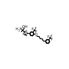 CC(N)(CO)c1nnc(-c2ccc(OCCCCCc3cccc(C(F)(F)F)c3)c(C(F)(F)F)c2)s1